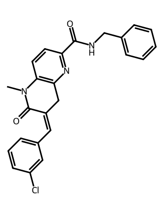 CN1C(=O)/C(=C\c2cccc(Cl)c2)Cc2nc(C(=O)NCc3ccccc3)ccc21